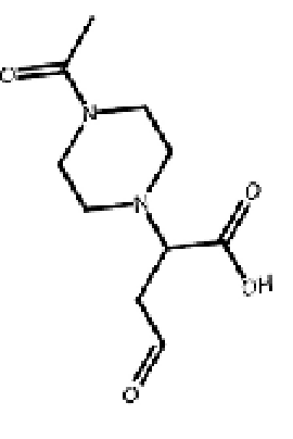 CC(=O)N1CCN(C(CC=O)C(=O)O)CC1